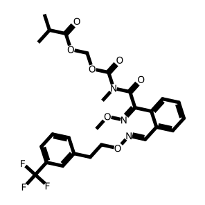 CON=C(C(=O)N(C)C(=O)OCOC(=O)C(C)C)c1ccccc1C=NOCCc1cccc(C(F)(F)F)c1